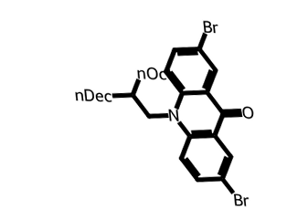 CCCCCCCCCCC(CCCCCCCC)Cn1c2ccc(Br)cc2c(=O)c2cc(Br)ccc21